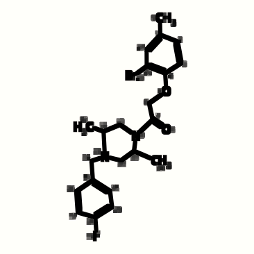 Cc1ccc(OCC(=O)N2CC(C)N(Cc3ccc(F)cc3)CC2C)c(Br)c1